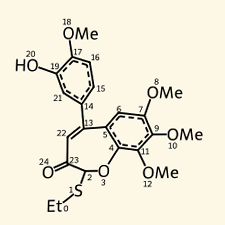 CCSC1Oc2c(cc(OC)c(OC)c2OC)C(c2ccc(OC)c(O)c2)=CC1=O